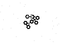 C1=CCC(c2ncc3c(n2)C(c2ccccc2)(c2ccc(-n4c5ccccc5c5ccccc54)cc2)c2ccccc2-3)C=C1